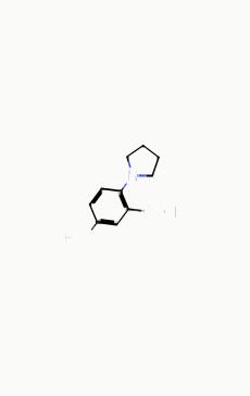 O=C(O)c1cc(C(F)(F)F)ccc1N1CCCC1